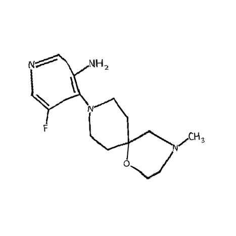 CN1CCOC2(CCN(c3c(N)cncc3F)CC2)C1